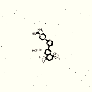 CC1(C)CCC(C)(C)c2cc(-c3ccnc(N4CCN(C(=N)N)CC4)n3)ccc21.Cl.Cl